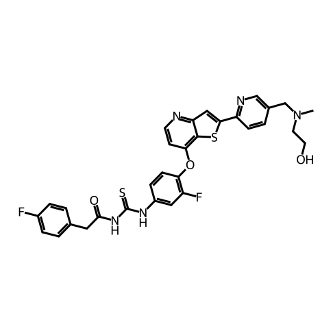 CN(CCO)Cc1ccc(-c2cc3nccc(Oc4ccc(NC(=S)NC(=O)Cc5ccc(F)cc5)cc4F)c3s2)nc1